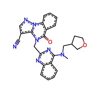 CN(CC1CCOC1)c1nc(Cn2c(=O)c3ccccc3n3ncc(C#N)c23)nc2ccccc12